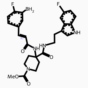 Bc1cc(/C=C/C(=O)NC2(C(=O)NCCc3c[nH]c4ccc(F)cc34)CCN(C(=O)OC)CC2)ccc1F